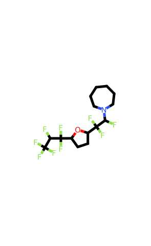 FC(N1CCCCCC1)C(F)(F)C1CCC(C(F)(F)C(F)C(F)(F)F)O1